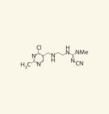 CNC(=NC#N)NCCNCc1cnc(C)nc1Cl